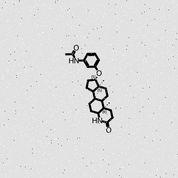 CC(=O)Nc1cccc(O[C@H]2CCC3C4CCC5NC(=O)CC[C@]5(C)C4CC[C@@]32C)c1